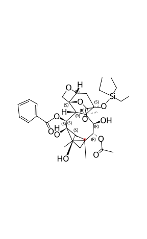 CC[Si](CC)(CC)O[C@H]1C[C@H]2OC[C@@]2(OC(C)=O)[C@H]2[C@H](OC(=O)c3ccccc3)[C@]3(O)C[C@H](O)C(C)C4(CC43C)[C@@H](OC(C)=O)[C@H](O)[C@]12C